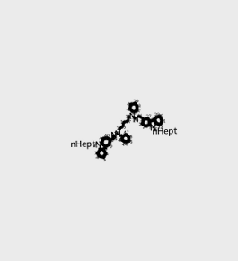 CCCCCCCn1c2ccccc2c2cc(/C=N/N(CCCCCN(/N=C/c3ccc4c(c3)c3ccccc3n4CCCCCCC)c3ccccc3)c3ccccc3)ccc21